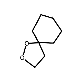 [CH]1CCC2(CC1)CCOO2